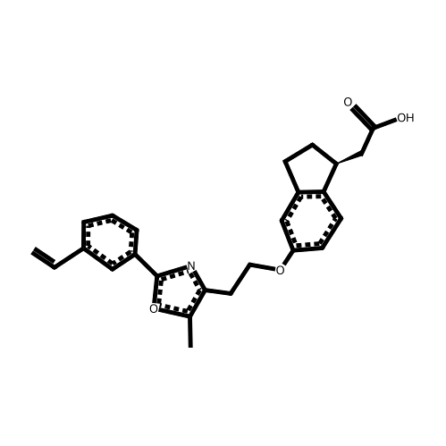 C=Cc1cccc(-c2nc(CCOc3ccc4c(c3)CC[C@H]4CC(=O)O)c(C)o2)c1